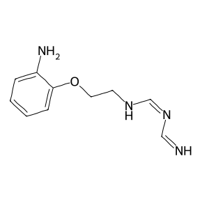 N=C/N=C\NCCOc1ccccc1N